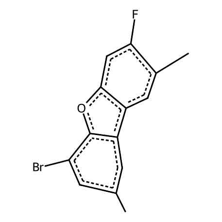 Cc1cc(Br)c2oc3cc(F)c(C)cc3c2c1